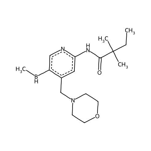 CBc1cnc(NC(=O)C(C)(C)CC)cc1CN1CCOCC1